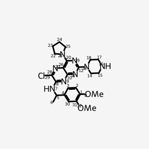 COc1ccc(C(C)Nc2nc3nc(N4CCNCC4)nc(N4CCCC4)c3nc2Cl)cc1OC